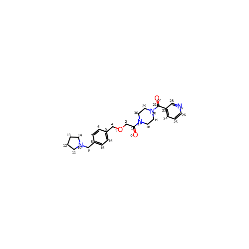 O=C(COCc1ccc(CN2CCCC2)cc1)N1CCN(C(=O)c2cccnc2)CC1